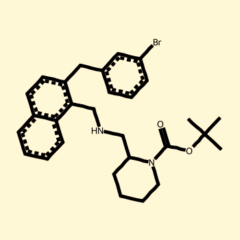 CC(C)(C)OC(=O)N1CCCCC1CNCc1c(Cc2cccc(Br)c2)ccc2ccccc12